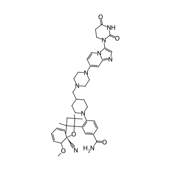 COC1C=CC=C[C@]1(C#N)OC1(c2cc(C(N)=O)ccc2N2CCC(CN3CCN(c4ccn5c(N6CCC(=O)NC6=O)cnc5c4)CC3)CC2)C(C)(C)CC1(C)C